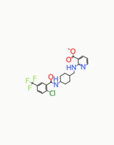 COC(=O)c1cccnc1NCC1CCC(NC(=O)c2cc(C(F)(F)F)ccc2Cl)CC1